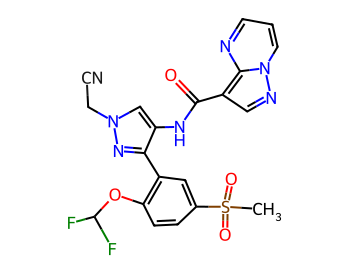 CS(=O)(=O)c1ccc(OC(F)F)c(-c2nn(CC#N)cc2NC(=O)c2cnn3cccnc23)c1